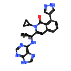 C[C@H](Nc1ncnc2[nH]cnc12)c1cc2cccc(-c3cn[nH]c3)c2c(=O)n1C1CC1